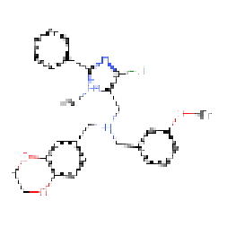 CCCCn1c(-c2ccccc2)nc(Cl)c1CN(Cc1cccc(OC(C)C)c1)Cc1ccc2c(c1)OCCO2